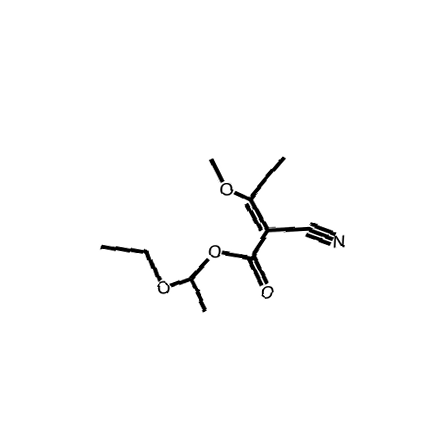 CCOC(C)OC(=O)C(C#N)=C(C)OC